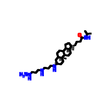 CC(C)NC(=O)CCC[C@H]1CCC2C3CCC4C[C@@H](NCCCNCCCNN)CC[C@]4(C)C3CC[C@@]21C